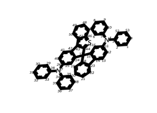 c1ccc(N(c2ccccc2)c2ccc3c(c2)C2(c4ccccc4-3)c3cc(N(c4ccccc4)c4ccccc4)ccc3-c3c2sc2ccccc32)cc1